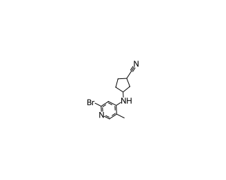 Cc1cnc(Br)cc1NC1CCC(C#N)C1